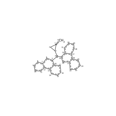 C=C1CC1B(c1cc2ccccc2c2ccccc12)c1cc2ccccc2c2ccccc12